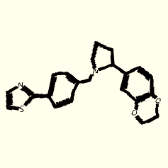 c1csc(-c2ccc(CN3CCCC3c3ccc4c(c3)OCCO4)cc2)n1